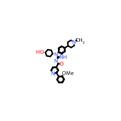 COc1ccccc1-c1cc(C(=O)/N=c2\[nH]c3cc(C4CCN(C)CC4)ccc3n2[C@H]2CC[C@@H](O)CC2)ccn1